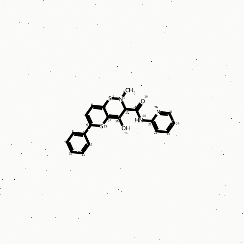 CN1SC2=CC=C(c3ccccc3)SC2=C(O)C1C(=O)Nc1ccccn1